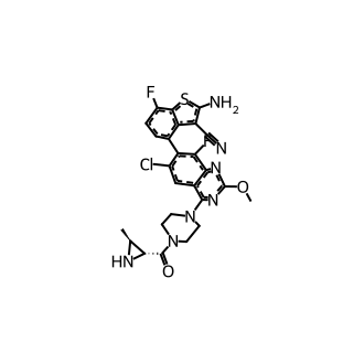 COc1nc(N2CCN(C(=O)[C@@H]3N[C@H]3C)CC2)c2cc(Cl)c(-c3ccc(F)c4sc(N)c(C#N)c34)c(F)c2n1